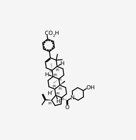 C=C(C)[C@@H]1CC[C@]2(C(=O)N3CCC(O)CC3)CC[C@]3(C)[C@H](CC[C@@H]4[C@@]5(C)CC=C(c6ccc(C(=O)O)cc6)C(C)(C)[C@@H]5CC[C@]43C)[C@@H]12